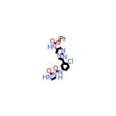 CC(C)OC(=O)Nc1cnc2nc(-c3cc(NC(=O)N4CCNC4=O)ccc3Cl)cn2c1